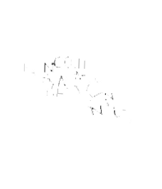 O=C(NCc1cc(-c2cnc(C(F)(F)F)nc2)c(Cl)cn1)[C@H]1C[C@@H](F)CN1C(=O)O